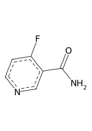 NC(=O)c1cnccc1F